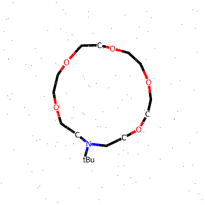 CC(C)(C)N1CCOCCOCCOCCOCCOCC1